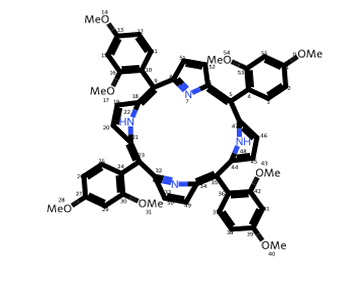 COc1ccc(-c2c3nc(c(-c4ccc(OC)cc4OC)c4ccc([nH]4)c(-c4ccc(OC)cc4OC)c4nc(c(-c5ccc(OC)cc5OC)c5ccc2[nH]5)C=C4)C=C3)c(OC)c1